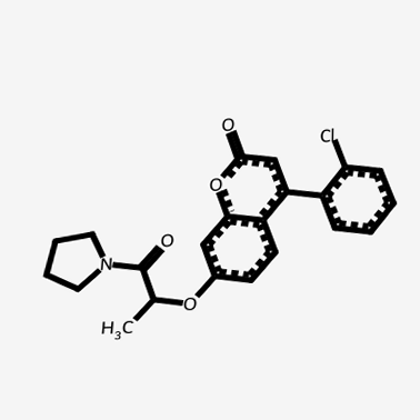 CC(Oc1ccc2c(-c3ccccc3Cl)cc(=O)oc2c1)C(=O)N1CCCC1